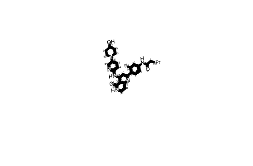 CC(C)CC(=O)Nc1ccc(-c2cc(Nc3ccc(N4CCC(O)CC4)cn3)c3c(=O)[nH]ccc3n2)c(F)c1